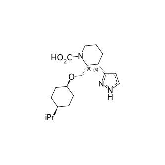 CC(C)[C@H]1CC[C@@H](OC[C@H]2[C@@H](c3cc[nH]n3)CCCN2C(=O)O)CC1